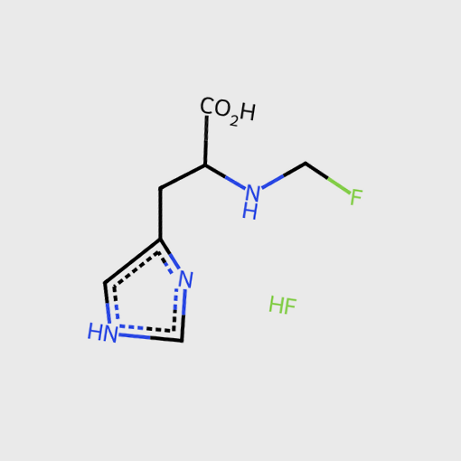 F.O=C(O)C(Cc1c[nH]cn1)NCF